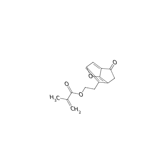 C=C(C)C(=O)OCCc1c2c3oc1cc3C(=O)C2